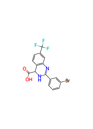 O=C(O)C1NC(c2cccc(Br)c2)=Nc2cc(C(F)(F)F)ccc21